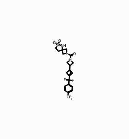 O=C(N1CC(C23CC(C(F)(F)c4ccc(C(F)(F)F)cc4)(C2)C3)C1)N1CC2(CCS(=O)(=O)N2)C1